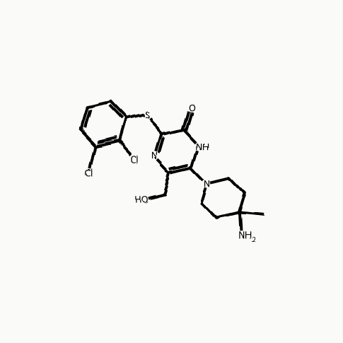 CC1(N)CCN(c2[nH]c(=O)c(Sc3cccc(Cl)c3Cl)nc2CO)CC1